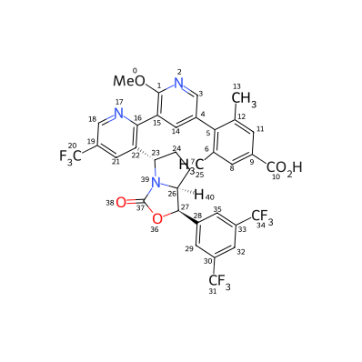 COc1ncc(-c2c(C)cc(C(=O)O)cc2C)cc1-c1ncc(C(F)(F)F)cc1[C@@H]1CC[C@H]2[C@@H](c3cc(C(F)(F)F)cc(C(F)(F)F)c3)OC(=O)N12